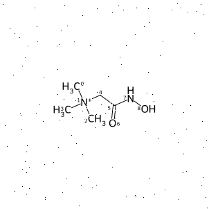 C[N+](C)(C)CC(=O)NO